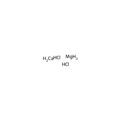 Cl.Cl.[CaH2].[MgH2]